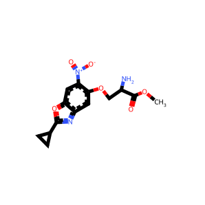 COC(=O)C(N)COc1cc2nc(C3CC3)oc2cc1[N+](=O)[O-]